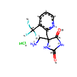 Cl.NCC1(c2ncccc2C(F)(F)F)NC(=O)NC1=O